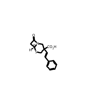 O=C1C[C@H]2SCC(C=Cc3ccccc3)(C(=O)O)CN12